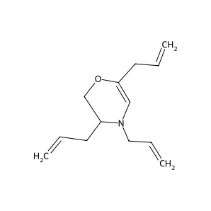 C=CCC1=CN(CC=C)C(CC=C)CO1